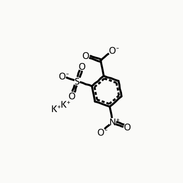 O=C([O-])c1ccc([N+](=O)[O-])cc1S(=O)(=O)[O-].[K+].[K+]